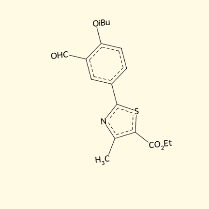 CCOC(=O)c1sc(-c2ccc(OCC(C)C)c(C=O)c2)nc1C